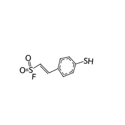 O=S(=O)(F)/C=C/c1ccc(S)cc1